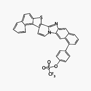 O=S(=O)(Oc1ccc(-c2cccc3cc4nc5c6sc7ccc8ccccc8c7c6ccn5c4cc23)cc1)C(F)(F)F